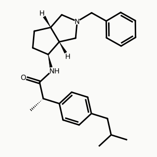 CC(C)Cc1ccc([C@H](C)C(=O)N[C@H]2CC[C@@H]3CN(Cc4ccccc4)C[C@@H]32)cc1